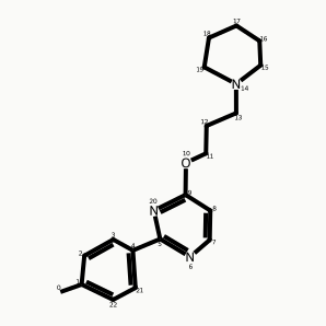 Cc1ccc(-c2nccc(OCCCN3CCCCC3)n2)cc1